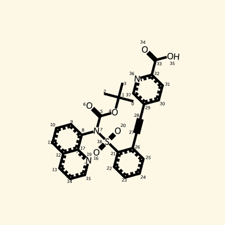 CC(C)(C)OC(=O)N(c1cccc2cccnc12)S(=O)(=O)c1ccccc1C#Cc1ccc(C(=O)O)nc1